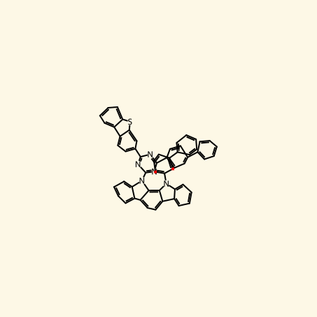 c1ccc(-c2ccc(-c3nc(-c4ccc5c(c4)sc4ccccc45)nc(-n4c5ccccc5c5ccc6c7ccccc7n(-c7cccc(-c8ccccc8)c7)c6c54)n3)cc2)cc1